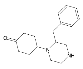 O=C1CCC(N2CCNCC2Cc2ccccc2)CC1